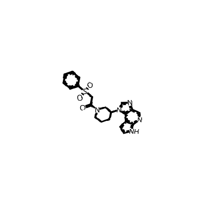 O=C(CS(=O)(=O)c1ccccc1)N1CCCC(n2cnc3cnc4[nH]ccc4c32)C1